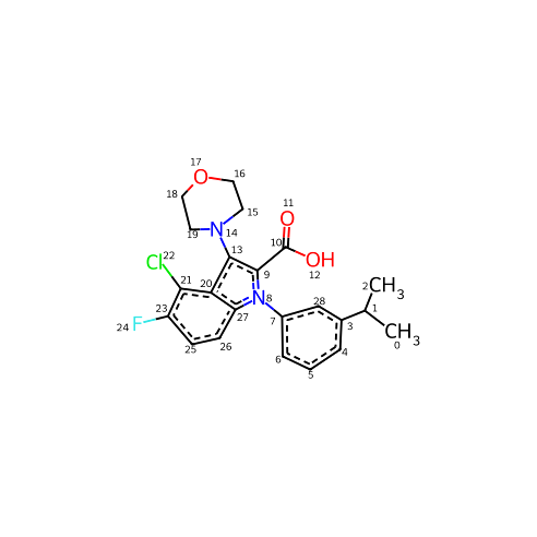 CC(C)c1cccc(-n2c(C(=O)O)c(N3CCOCC3)c3c(Cl)c(F)ccc32)c1